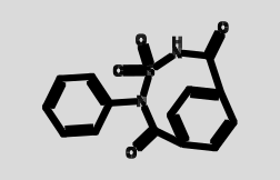 O=C1NS(=O)(=O)N(c2ccccc2)C(=O)c2ccc1cc2